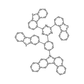 c1ccc2cc3c(cc2c1)c1c2ccccc2ccc1n3-c1ccc(-c2nc(-c3cccc4sc5ccccc5c34)nc(-c3cccc4sc5ccccc5c34)n2)c(-c2ccc3c(c2)sc2ccccc23)c1